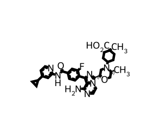 C[C@H]1CO[C@@H](c2nc(-c3ccc(C(=O)Nc4cc(C5CC5)ccn4)cc3F)c3c(N)nccn23)CN1C1CCC(C)(C(=O)O)CC1